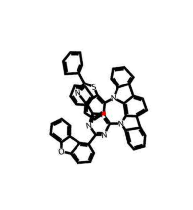 c1ccc(-c2nc(-c3cccc4oc5ccccc5c34)nc(-n3c4ccccc4c4ccc5c6ccccc6n(-c6cccc7nc(-c8ccccc8)sc67)c5c43)n2)cc1